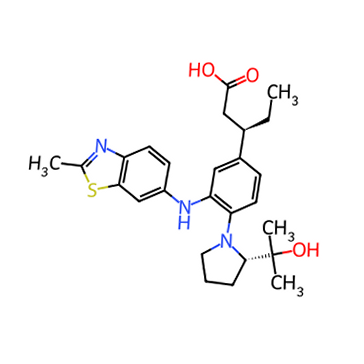 CC[C@H](CC(=O)O)c1ccc(N2CCC[C@H]2C(C)(C)O)c(Nc2ccc3nc(C)sc3c2)c1